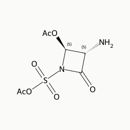 CC(=O)O[C@H]1[C@H](N)C(=O)N1S(=O)(=O)OC(C)=O